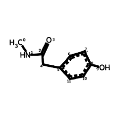 CNC(=O)Cc1c[c]c(O)cc1